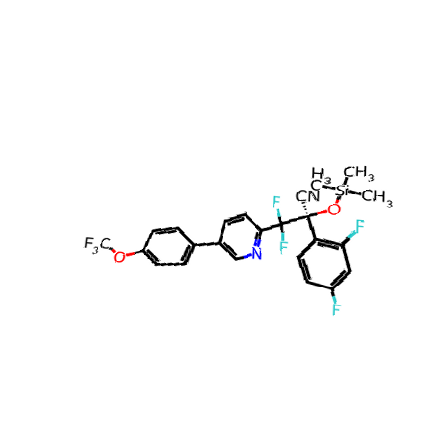 C[Si](C)(C)O[C@@](C#N)(c1ccc(F)cc1F)C(F)(F)c1ccc(-c2ccc(OC(F)(F)F)cc2)cn1